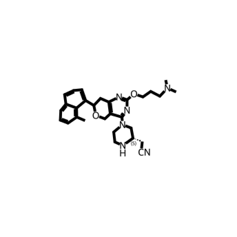 Cc1cccc2cccc(C3Cc4nc(OCCCN(C)C)nc(N5CCN[C@@H](CC#N)C5)c4CO3)c12